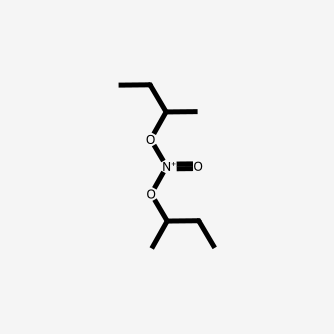 CCC(C)O[N+](=O)OC(C)CC